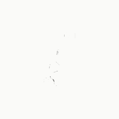 O=[N+]([O-])c1ccc(C#CCCO)cc1